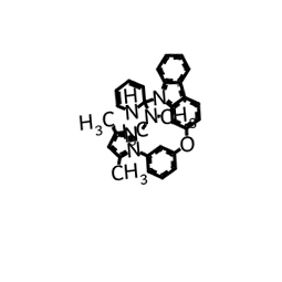 Cc1cc(C)n(-c2cccc(Oc3ccc4c5ccccc5n(C5(N(C)C)C=CC=CN5)c4c3)c2)n1